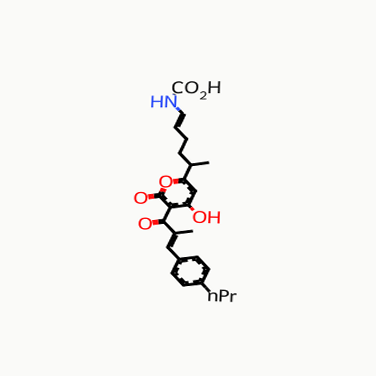 CCCc1ccc(/C=C(\C)C(=O)c2c(O)cc(C(C)CC/C=C/NC(=O)O)oc2=O)cc1